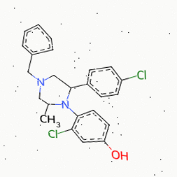 CC1CN(Cc2ccccc2)CC(c2ccc(Cl)cc2)N1c1ccc(O)cc1Cl